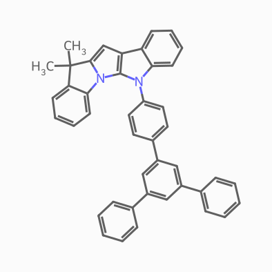 CC1(C)c2ccccc2-n2c1cc1c3ccccc3n(-c3ccc(-c4cc(-c5ccccc5)cc(-c5ccccc5)c4)cc3)c12